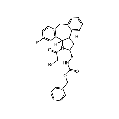 O=C(NC[C@@H]1C[C@@H]2c3ccccc3Cc3ccc(F)cc3[C@H]2N1C(=O)CBr)OCc1ccccc1